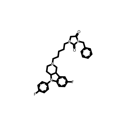 O=C1CN(CCCCCN2CCC3C(C2)c2cc(F)ccc2N3c2ccc(F)cc2)C(=O)N1Cc1ccccc1